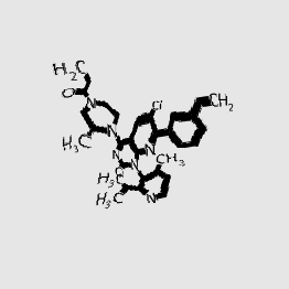 C=CC(=O)N1CCN(c2nc(=O)n(-c3c(C)ccnc3C(C)C)c3nc(-c4cccc(C=C)c4)c(Cl)cc23)[C@@H](C)C1